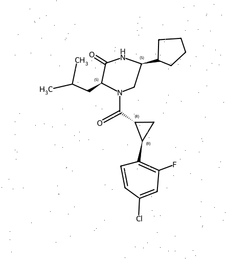 CC(C)C[C@H]1C(=O)N[C@@H](C2CCCC2)CN1C(=O)[C@@H]1C[C@H]1c1ccc(Cl)cc1F